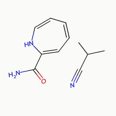 CC(C)C#N.NC(=O)C1=CC=CC=CN1